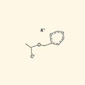 CC([O-])OCc1ccccc1.[K+]